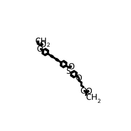 C=CC(=O)OCCCCOc1ccc(SC(=O)c2ccc(C#CC#Cc3ccc(OC(=O)C=C)cc3)cc2)cc1